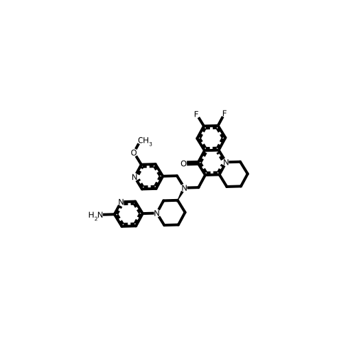 COc1cc(CN(Cc2c3n(c4cc(F)c(F)cc4c2=O)CCCC3)[C@H]2CCCN(c3ccc(N)nc3)C2)ccn1